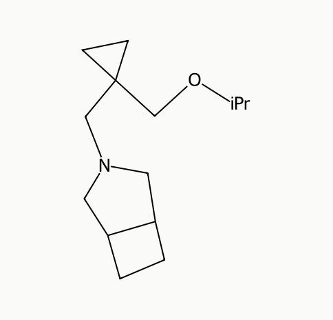 CC(C)OCC1(CN2CC3CCC3C2)CC1